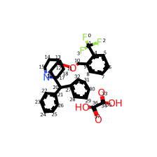 FC(F)(F)c1ccccc1COC1C2CCN(CC2)C1C(c1ccccc1)c1ccccc1.O=C(O)C(=O)O